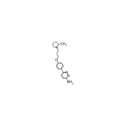 CC1CCCN1CCCOc1ccc(-c2ccc(N)nn2)cc1